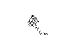 CCCCCCCCCCCCCCCC[N+](C)(C)C(CCCC)(CCCC)c1cccc(CCCC)c1CCCC